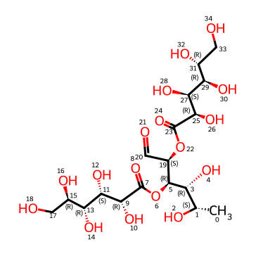 C[C@H](O)[C@@H](O)[C@@H](OC(=O)[C@H](O)[C@@H](O)[C@H](O)[C@H](O)CO)[C@@H](C=O)OC(=O)[C@H](O)[C@@H](O)[C@H](O)[C@H](O)CO